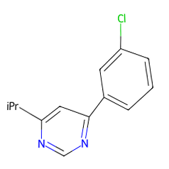 CC(C)c1cc(-c2cccc(Cl)c2)ncn1